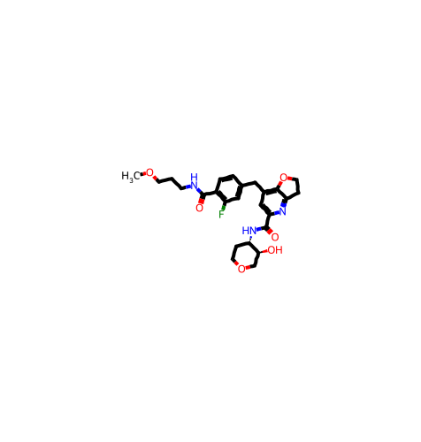 COCCCNC(=O)c1ccc(Cc2cc(C(=O)N[C@H]3CCOC[C@@H]3O)nc3c2OCC3)cc1F